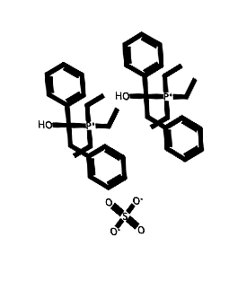 CC[P+](CC)(CC)C(O)(Cc1ccccc1)c1ccccc1.CC[P+](CC)(CC)C(O)(Cc1ccccc1)c1ccccc1.O=S(=O)([O-])[O-]